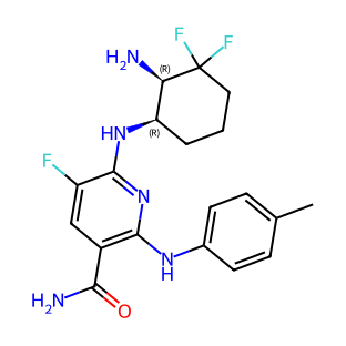 Cc1ccc(Nc2nc(N[C@@H]3CCCC(F)(F)[C@@H]3N)c(F)cc2C(N)=O)cc1